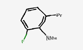 CNc1c(F)cccc1C(C)C